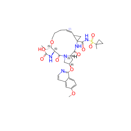 CC[C@@H]1OCCC/C=C\C2CC2(C(=O)NS(=O)(=O)C2(C)CC2)NC(=O)[C@@H]2C[C@@H](Oc3nccc4cc(OC)ccc34)CN2C(=O)[C@H]1NC(=O)O